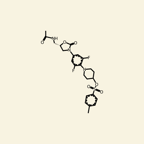 CC(=O)NC[C@H]1CN(c2cc(F)c(N3CCC(OS(=O)(=O)c4ccc(C)cc4)CC3)c(F)c2)C(=O)O1